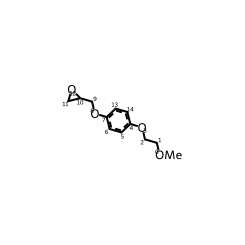 COCCOc1ccc(OCC2CO2)cc1